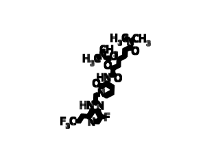 CN(C)C(=O)C=CCCC(OC(=O)N(C)C)C(=O)Nc1cccn(Cc2nc3c(F)cnc(CCC(F)(F)F)c3[nH]2)c1=O